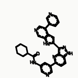 O=C(Nc1cncc(-c2ccc3[nH]nc(-c4cc5c(-c6cccnc6)cncc5[nH]4)c3n2)c1)C1CCCCC1